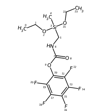 CCO[Si](C)(CNC(=O)Oc1c(F)c(F)c(F)c(F)c1F)OCC